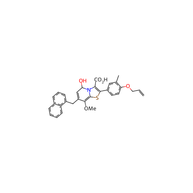 C=CCOc1ccc(C2=C(C(=O)O)N3C(=C(OC)C(Cc4cccc5ccccc45)=CC3O)S2)cc1C